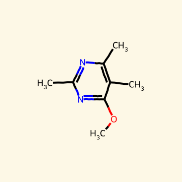 COc1nc(C)nc(C)c1C